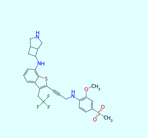 COc1cc(S(C)(=O)=O)ccc1NCC#Cc1sc2c(NC3CC4CNCC43)cccc2c1CC(F)(F)F